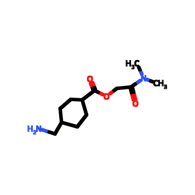 CN(C)C(=O)COC(=O)C1CCC(CN)CC1